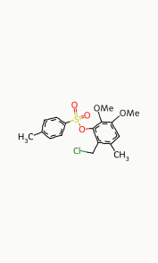 COc1cc(C)c(CCl)c(OS(=O)(=O)c2ccc(C)cc2)c1OC